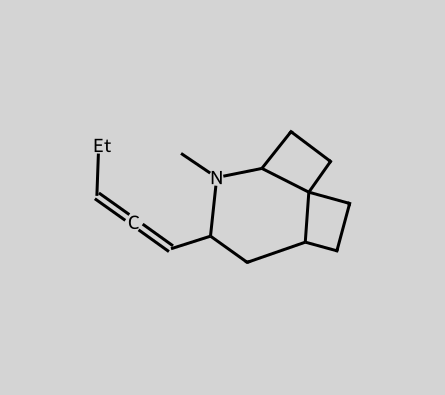 CCC=C=CC1CC2CCC23CCC3N1C